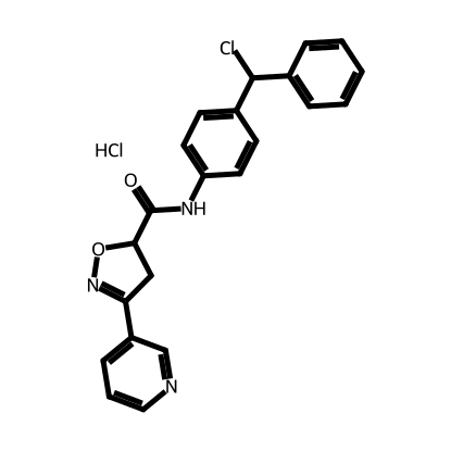 Cl.O=C(Nc1ccc(C(Cl)c2ccccc2)cc1)C1CC(c2cccnc2)=NO1